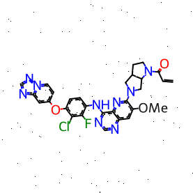 C=CC(=O)N1CCC2CN(c3nc4c(Nc5ccc(Oc6ccn7ncnc7c6)c(Cl)c5F)ncnc4cc3OC)CC21